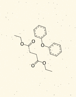 CCOC(=O)CCC(=O)OCC.c1ccc(Oc2ccccc2)cc1